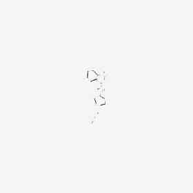 NCCOc1ccc(S(=O)(=O)C2CS(O)(O)c3ccccc32)cc1